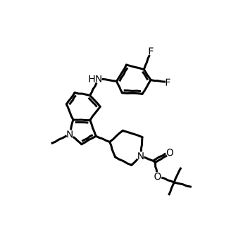 Cn1cc(C2CCN(C(=O)OC(C)(C)C)CC2)c2cc(Nc3ccc(F)c(F)c3)ccc21